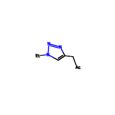 CCn1cc(CC(C)=O)nn1